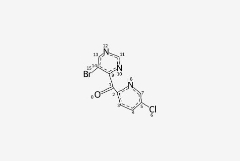 O=C(c1ccc(Cl)cn1)c1ncncc1Br